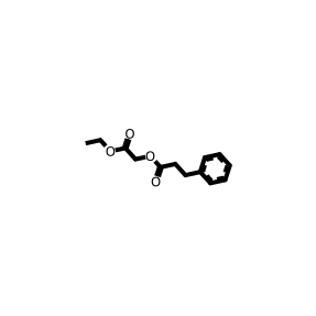 CCOC(=O)COC(=O)CCc1ccccc1